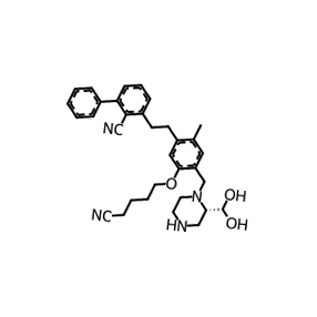 Cc1cc(CN2CCNC[C@H]2C(O)O)c(OCCCCC#N)cc1CCc1cccc(-c2ccccc2)c1C#N